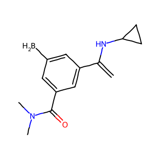 Bc1cc(C(=C)NC2CC2)cc(C(=O)N(C)C)c1